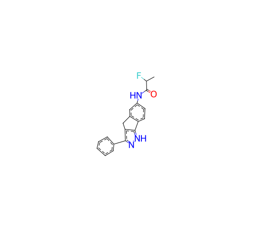 CC(F)C(=O)Nc1ccc2c(c1)Cc1c(-c3ccccc3)n[nH]c1-2